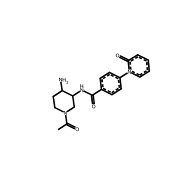 CC(=O)N1CCC(N)C(NC(=O)c2ccc(-n3ccccc3=O)cc2)C1